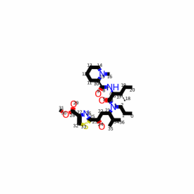 CCCN(C(=O)[C@@H](NC(=O)[C@H]1CCCCN1C)[C@@H](C)CC)C(CC(=O)c1nc(C(=O)OC)cs1)C(C)C